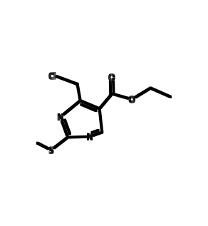 CCOC(=O)c1cnc(SC)nc1CCl